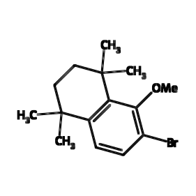 COc1c(Br)ccc2c1C(C)(C)CCC2(C)C